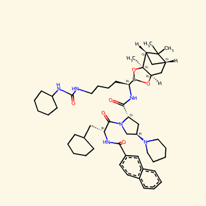 CC1(C)[C@@H]2C[C@H]3OB([C@H](CCCCNC(=O)NC4CCCCC4)NC(=O)[C@@H]4C[C@@H](N5CCCCC5)CN4C(=O)[C@@H](CC4CCCCC4)NC(=O)c4ccc5ccccc5c4)O[C@@]3(C)[C@H]1C2